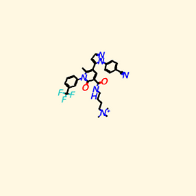 Cc1c(-c2ccnn2-c2ccc(C#N)cc2)cc(C(=O)NCCCC[N+](C)(C)C)c(=O)n1-c1cccc(C(F)(F)F)c1